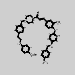 COc1ccc(OCCc2ccc(CN3CCN(C(=O)C=Cc4ccc(Oc5ccc(OCc6ccc(C)cc6)cn5)c(C)c4)CC3)cc2)cc1